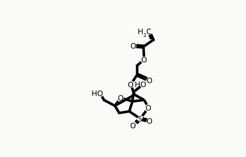 C=CC(=O)OCC(=O)OC1C2OS(=O)(=O)C3CC1(CO)OC23CO